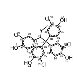 CCC(c1ccc(O)c(Cl)c1)C(c1ccc(O)c(Cl)c1)(c1ccc(O)c(Cl)c1)c1ccc(O)c(Cl)c1